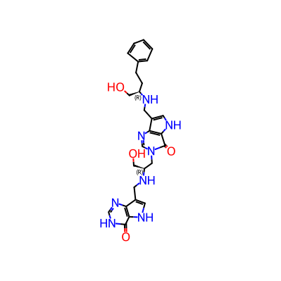 O=c1[nH]cnc2c(CN[C@@H](CO)Cn3cnc4c(CN[C@@H](CO)CCc5ccccc5)c[nH]c4c3=O)c[nH]c12